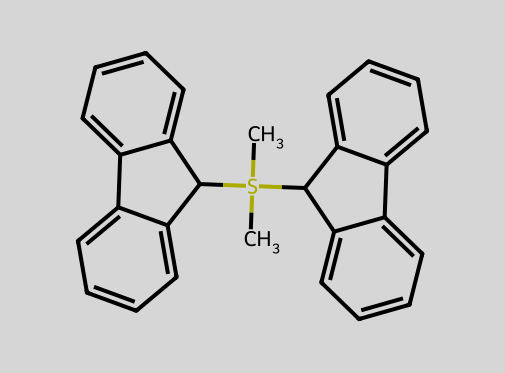 CS(C)(C1c2ccccc2-c2ccccc21)C1c2ccccc2-c2ccccc21